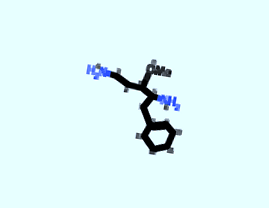 COC(CCN)C(N)CC1=CCCCC1